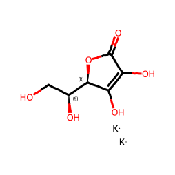 O=C1O[C@H]([C@@H](O)CO)C(O)=C1O.[K].[K]